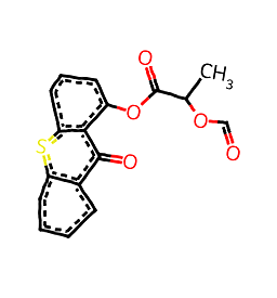 CC(OC=O)C(=O)Oc1cccc2sc3ccccc3c(=O)c12